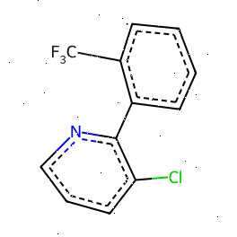 FC(F)(F)c1[c]cccc1-c1ncccc1Cl